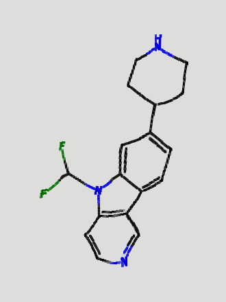 FC(F)n1c2ccncc2c2ccc(C3CCNCC3)cc21